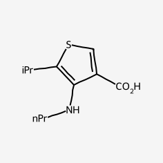 CCCNc1c(C(=O)O)csc1C(C)C